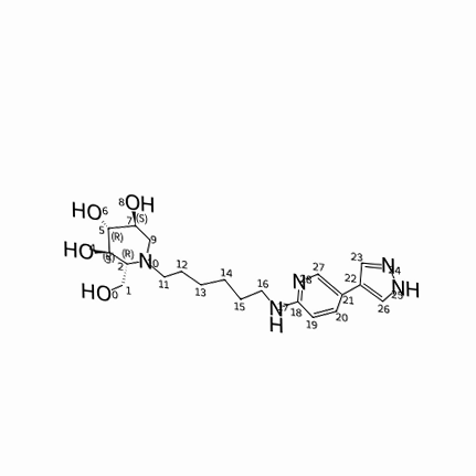 OC[C@@H]1[C@@H](O)[C@H](O)[C@@H](O)CN1CCCCCCNc1ccc(-c2cn[nH]c2)cn1